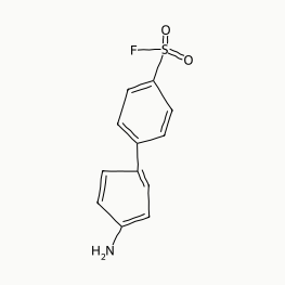 Nc1ccc(-c2ccc(S(=O)(=O)F)cc2)cc1